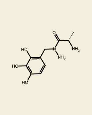 C[C@H](N)C(=O)N(N)Cc1ccc(O)c(O)c1O